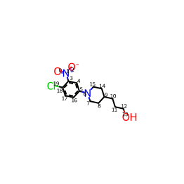 O=[N+]([O-])c1cc(N2CCC(CCCO)CC2)ccc1Cl